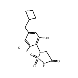 O=C1CN(c2c(O)cc(CC3CCC3)cc2F)S(=O)(=O)N1.[K]